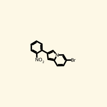 O=[N+]([O-])c1ccccc1-c1cc2ccc(Br)cn2c1